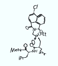 CCOP(=O)(CC(CC(C)C)C(=O)N[C@@H](CC(C)C)C(=O)NC)CN1C(=O)c2cccc3c(Cl)ccc(c23)C1=O